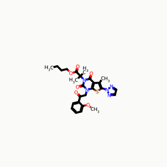 CCCCOC(=O)C(C)(C)n1c(=O)c2c(C)c(-n3nccn3)sc2n(CC(=O)c2ccccc2OC)c1=O